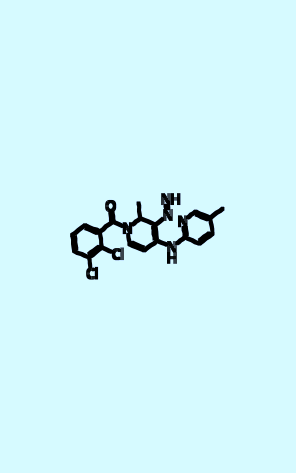 Cc1ccc(NC2=C(N=N)C(C)N(C(=O)c3cccc(Cl)c3Cl)C=C2)nc1